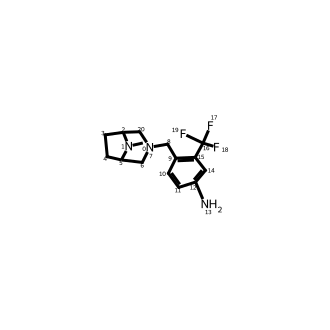 CN1C2CCC1CN(Cc1ccc(N)cc1C(F)(F)F)C2